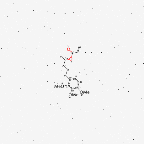 C=CC(=O)OC(C)CCCc1ccc(OC)c(OC)c1OC